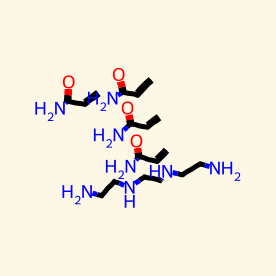 C=CC(N)=O.C=CC(N)=O.C=CC(N)=O.C=CC(N)=O.NCCNCCNCCN